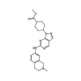 COC(=O)C1CCC(n2ncc3cnc(Nc4ccc5c(c4)CN(C)CC5)nc32)CC1